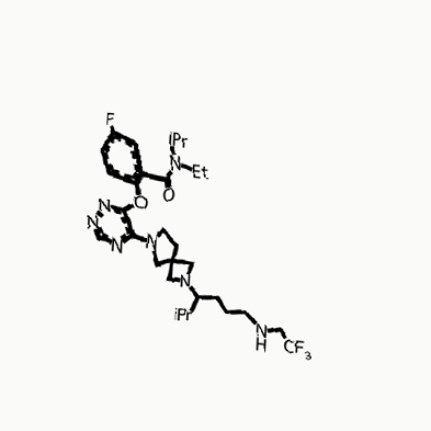 CCN(C(=O)c1cc(F)ccc1Oc1nncnc1N1CCC2(C1)CN(C(CCCNCC(F)(F)F)C(C)C)C2)C(C)C